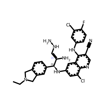 CCN1Cc2ccc([C@H](Nc3cc(Cl)c4ncc(C#N)c(Nc5ccc(F)c(Cl)c5)c4c3)/C(N)=C/NN)cc2C1